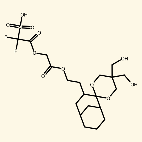 O=C(COC(=O)C(F)(F)S(=O)(=O)O)OCCC1CC2CCCC(C2)C12OCC(CO)(CO)CO2